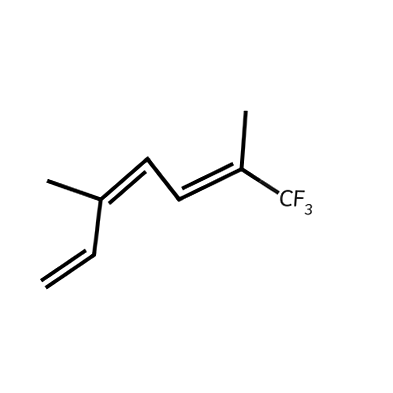 C=C/C(C)=C\C=C(/C)C(F)(F)F